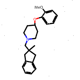 COc1ccccc1OC1CCN(CC2(C)Cc3ccccc3C2)CC1